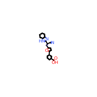 N#C/C(=C\c1ccc(-c2cccc(C(=O)O)c2)o1)c1nc2ccccc2[nH]1